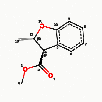 COC(=O)[C@@H]1c2ccccc2O[C@H]1C